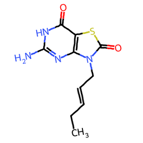 CC/C=C/Cn1c(=O)sc2c(=O)[nH]c(N)nc21